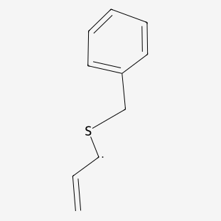 C=C[CH]SCc1ccccc1